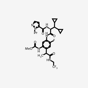 COC(=O)Nc1cc(NC(=O)[C@@H](NC(=O)c2ccnn2C(C)C)C(C2CC2)C2CC2)c(F)cc1C(C)C(=O)NCC(F)(F)F